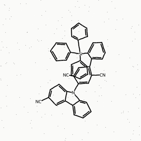 N#Cc1ccc2c(c1)c1ccccc1n2-c1cc(C#N)c(-c2ccccc2[Si](c2ccccc2)(c2ccccc2)c2ccccc2)cc1C#N